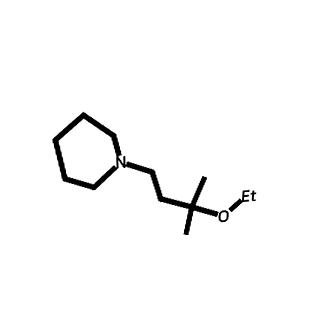 CCOC(C)(C)CCN1CCCCC1